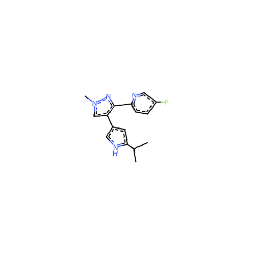 CC(C)c1cc(-c2cn(C)nc2-c2ccc(F)cn2)c[nH]1